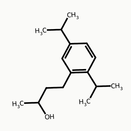 CC(O)CCc1cc(C(C)C)ccc1C(C)C